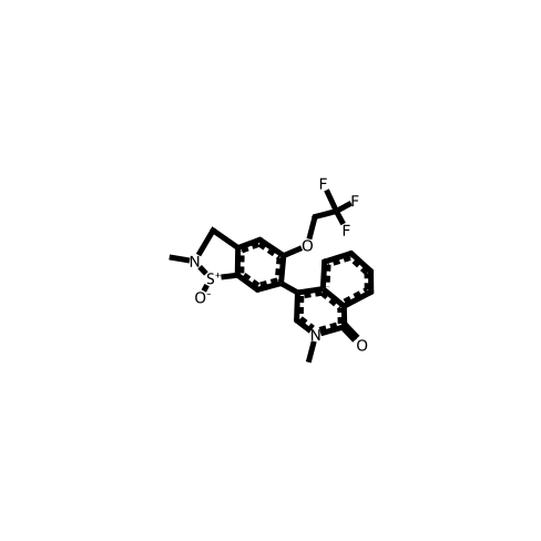 CN1Cc2cc(OCC(F)(F)F)c(-c3cn(C)c(=O)c4ccccc34)cc2[S+]1[O-]